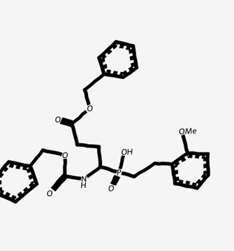 COc1ccccc1CCP(=O)(O)C(CCC(=O)OCc1ccccc1)NC(=O)OCc1ccccc1